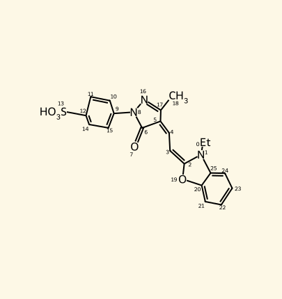 CCN1C(=CC=C2C(=O)N(c3ccc(S(=O)(=O)O)cc3)N=C2C)Oc2ccccc21